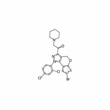 O=C(CN1CCCCC1)c1nn(-c2ccc(Cl)cc2Cl)c2c1COc1sc(Br)cc1-2